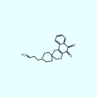 C=CCCN1CCC2(CC1)CSC1=C(O2)c2ccccc2C(=O)C1=O